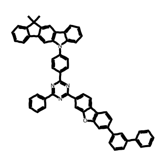 CC1(C)c2ccccc2-c2cc3c(cc21)c1ccccc1n3-c1ccc(-c2nc(-c3ccccc3)nc(-c3ccc4c(c3)oc3cc(-c5cccc(-c6ccccc6)c5)ccc34)n2)cc1